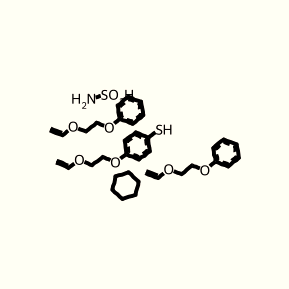 C1CCCCC1.C=COCCOc1ccc(S)cc1.C=COCCOc1ccccc1.C=COCCOc1ccccc1.NS(=O)(=O)O